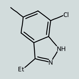 CCc1n[nH]c2c(Cl)cc(C)cc12